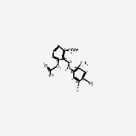 CCC(=O)Oc1cccc(OC)c1COc1cc(F)c(CC)cc1C